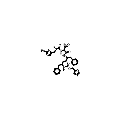 CC(C)COC(C)C(NC(=O)N(C)Cc1csc(C(C)C)n1)C(=O)NC(CCC(Cc1ccccc1)NC(=O)OCc1cncs1)Cc1ccccc1